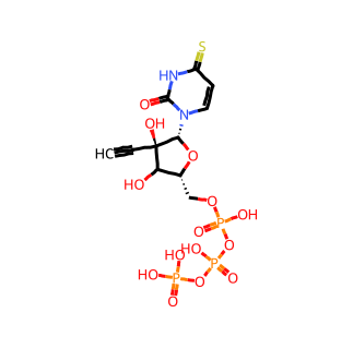 C#C[C@@]1(O)C(O)[C@@H](COP(=O)(O)OP(=O)(O)OP(=O)(O)O)O[C@H]1n1ccc(=S)[nH]c1=O